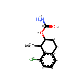 COC1c2c(Cl)cccc2CCC1OC(N)=O